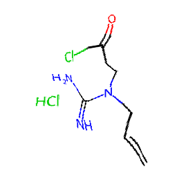 C=CCN(CC(=O)Cl)C(=N)N.Cl